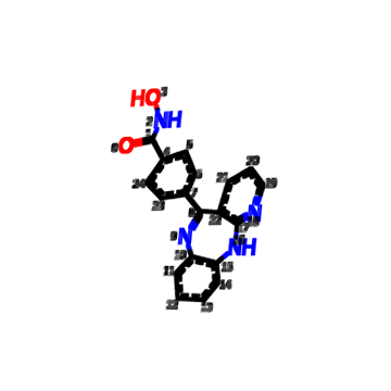 O=C(NO)c1ccc(C2=Nc3ccccc3Nc3ncccc32)cc1